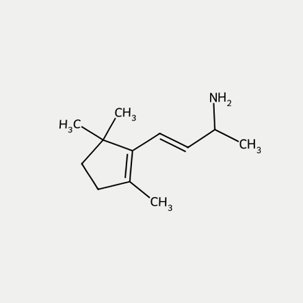 CC1=C(C=CC(C)N)C(C)(C)CC1